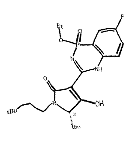 CCOP1(=O)N=C(C2=C(O)[C@H](C(C)(C)C)N(CCC(C)(C)C)C2=O)Nc2ccc(F)cc21